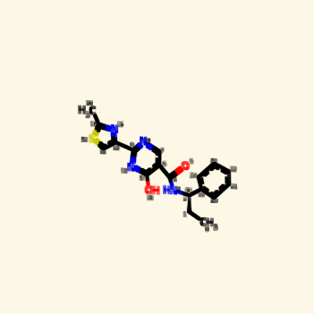 CC[C@@H](NC(=O)c1cnc(-c2csc(C)n2)nc1O)c1ccccc1